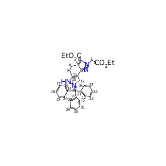 CCOC(=O)Cn1nc2c(c1C(=O)OCC)CCC1=C2CN(C(c2ccccc2)(c2ccccc2)c2ccccc2)N1